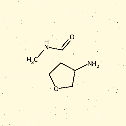 CNC=O.NC1CCOC1